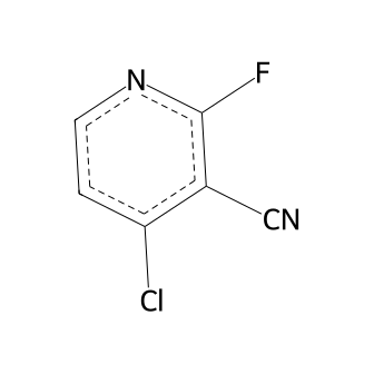 N#Cc1c(Cl)ccnc1F